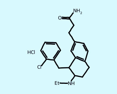 CCNC1CCc2ccc(CCC(N)=O)cc2C1Cc1ccccc1Cl.Cl